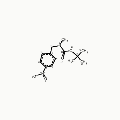 CN(Cc1ccc([N+](=O)[O-])cc1)C(=O)OC(C)(C)C